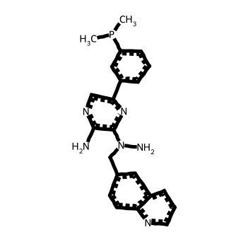 CP(C)c1cccc(-c2cnc(N)c(N(N)Cc3ccc4ncccc4c3)n2)c1